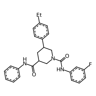 CCc1ccc(C2CC(C(=O)Nc3ccccc3)CN(C(=O)Nc3cccc(F)c3)C2)cc1